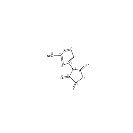 C=C1CC(=O)N(c2cccc(OC(C)=O)c2)C1=O